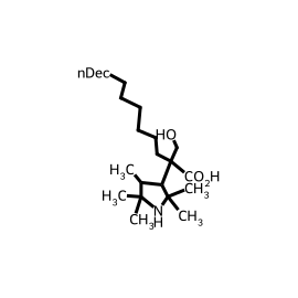 CCCCCCCCCCCCCCCCC(CO)(C(=O)O)C1C(C)C(C)(C)NC1(C)C